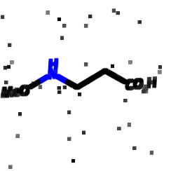 CONCCC(=O)O